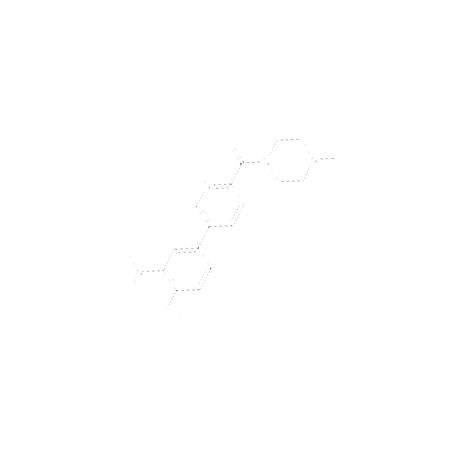 CCCNc1cc(-c2ccc(C(=O)N3CCN(C)CC3)nc2)ccc1C